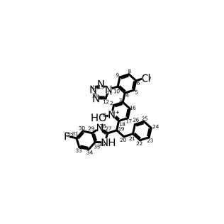 O[n+]1cc(-c2cc(Cl)ccc2-n2cnnn2)ccc1C(Cc1ccccc1)c1nc2cc(F)ccc2[nH]1